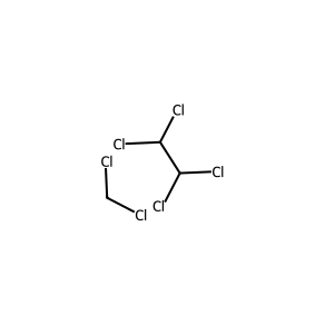 ClC(Cl)C(Cl)Cl.ClCCl